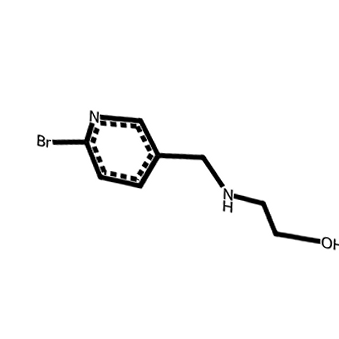 OCCNCc1ccc(Br)nc1